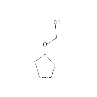 CCOC1C[CH]CC1